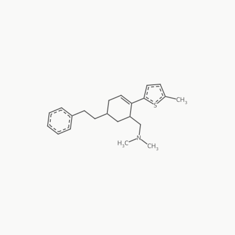 Cc1ccc(C2=CCC(CCc3ccccc3)CC2CN(C)C)s1